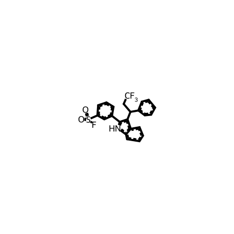 O=S(=O)(F)c1cccc(-c2[nH]c3ccccc3c2C(CC(F)(F)F)c2ccccc2)c1